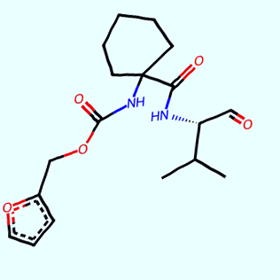 CC(C)[C@@H](C=O)NC(=O)C1(NC(=O)OCc2ccco2)CCCCC1